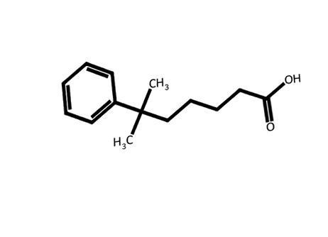 CC(C)(CCCCC(=O)O)c1ccccc1